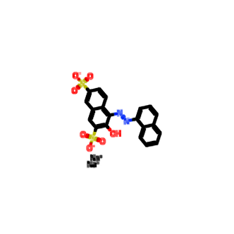 O=S(=O)([O-])c1ccc2c(N=Nc3cccc4ccccc34)c(O)c(S(=O)(=O)[O-])cc2c1.[Na+].[Na+]